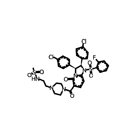 CS(=O)(=O)NCCN1CCN(C(=O)c2ccc3n(c2=O)[C@@H](c2ccc(Cl)cc2)[C@@H](c2ccc(Cl)cc2)N3S(=O)(=O)c2ccccc2F)CC1